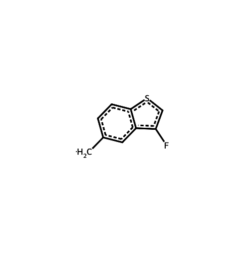 [CH2]c1ccc2scc(F)c2c1